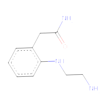 NCCNc1ccccc1CC(N)=O